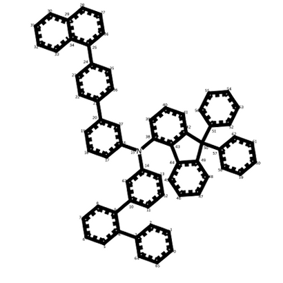 c1ccc(-c2ccccc2-c2cccc(N(c3cccc(-c4ccc(-c5cccc6ccccc56)cc4)c3)c3cccc4c3-c3ccccc3C4(c3ccccc3)c3ccccc3)c2)cc1